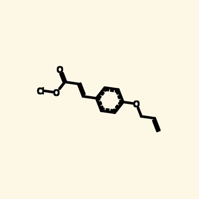 C=CCOc1ccc(C=CC(=O)OCl)cc1